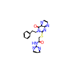 O=C(CSc1nc2nccnc2c(=O)n1CCc1ccccc1)Nc1ncccn1